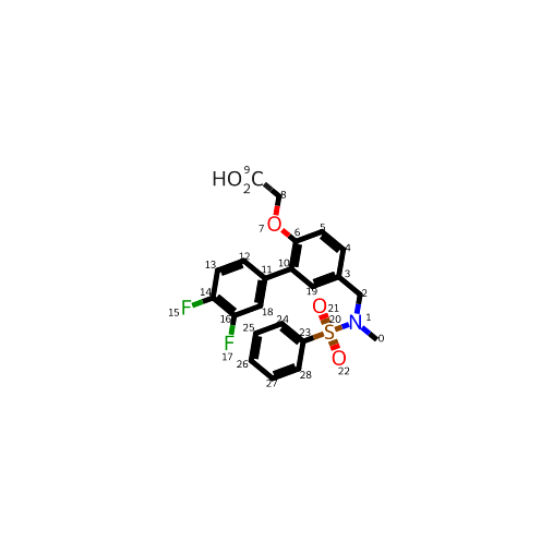 CN(Cc1ccc(OCC(=O)O)c(-c2ccc(F)c(F)c2)c1)S(=O)(=O)c1ccccc1